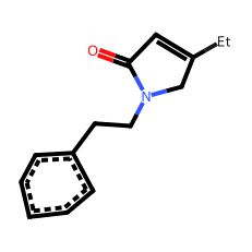 CCC1=CC(=O)N(CCc2ccccc2)C1